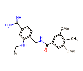 COc1cc(C(=O)NCc2ccc(C(=N)N)cc2NCC(C)C)cc(OC)c1C